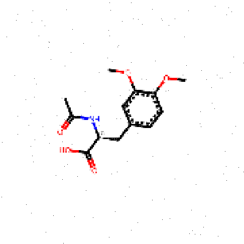 COc1ccc(C[C@H](NC(C)=O)C(=O)O)cc1OC